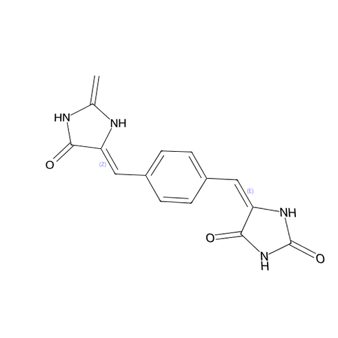 C=c1[nH]c(=O)/c(=C/c2ccc(/C=C3/NC(=O)NC3=O)cc2)[nH]1